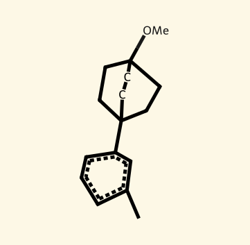 COC12CCC(c3cccc(C)c3)(CC1)CC2